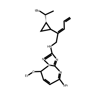 C=C/C=C(/CNc1nc2n(n1)C(OCC)C=CC(CCC)=N2)C1C[C@@H]1C(C)C(C)(C)C